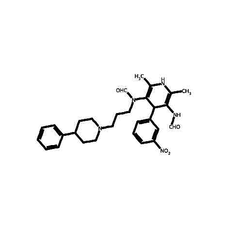 CC1=C(NC=O)C(c2cccc([N+](=O)[O-])c2)C(N(C=O)CCCN2CCC(c3ccccc3)CC2)=C(C)N1